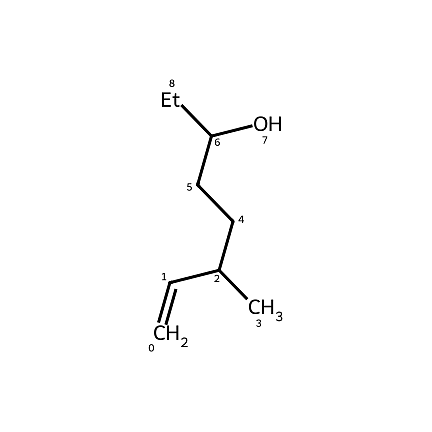 C=CC(C)CCC(O)CC